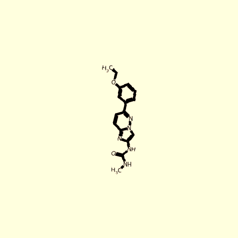 CCOc1cccc(-c2ccc3nc(NC(=O)NC)cn3n2)c1